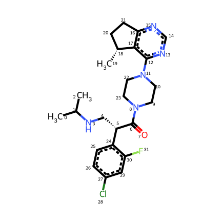 CC(C)NC[C@H](C(=O)N1CCN(c2ncnc3c2[C@H](C)CC3)CC1)c1ccc(Cl)cc1F